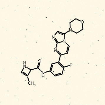 CC1=CNC1C(=O)Nc1ccc(F)c(-c2ccn3c(N4CCOCC4)cnc3n2)c1